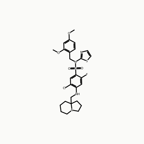 COc1ccc(CN(c2nccs2)S(=O)(=O)c2cc(Cl)c(NCC34CCCCN3CCC4)cc2F)c(OC)c1